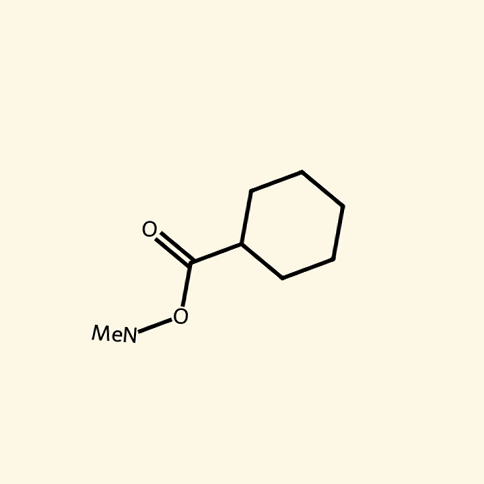 CNOC(=O)C1CCCCC1